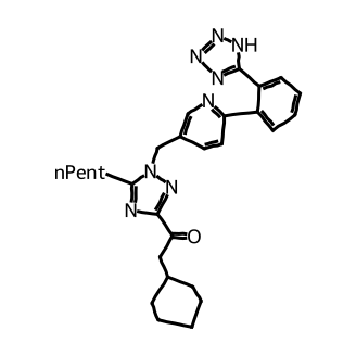 CCCCCc1nc(C(=O)CC2CCCCC2)nn1Cc1ccc(-c2ccccc2-c2nnn[nH]2)nc1